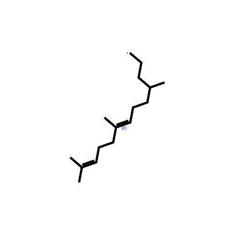 [CH2]CCC(C)CC/C=C(\C)CCC=C(C)C